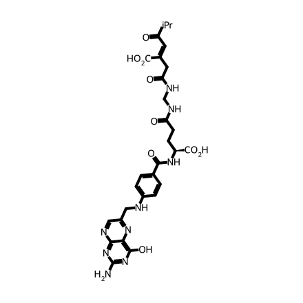 CC(C)C(=O)/C=C(/CC(=O)NCNC(=O)CC[C@H](NC(=O)c1ccc(NCc2cnc3nc(N)nc(O)c3n2)cc1)C(=O)O)C(=O)O